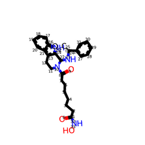 O=C(CCCCCCC(=O)N1CCc2c([nH]c3ccccc23)C1N[C@H](C(=O)O)c1ccccc1)NO